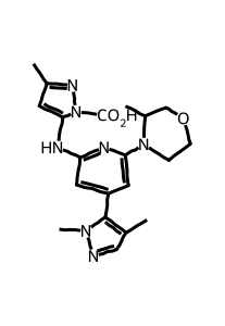 Cc1cc(Nc2cc(-c3c(C)cnn3C)cc(N3CCOCC3C)n2)n(C(=O)O)n1